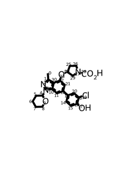 Cc1nn(C2CCCCO2)c2cc(-c3ccc(O)c(Cl)c3)cc(O[C@H]3CCN(C(=O)O)C3)c12